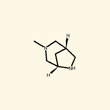 CN1C[C@@H]2CN[C@@H](C2)C1